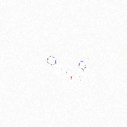 CN1CC[C@H](NC(=O)C(C)(C)COc2ncccc2C(F)(F)F)[C@@H](c2cnn(C(F)F)c2)C1